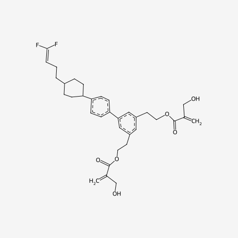 C=C(CO)C(=O)OCCc1cc(CCOC(=O)C(=C)CO)cc(-c2ccc(C3CCC(CCC=C(F)F)CC3)cc2)c1